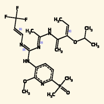 C=C(N/C(C)=N/C(=N\C=C\C(F)(F)F)Nc1ccc(P(C)(C)=O)nc1OC)/C(=C\C)OC(C)C